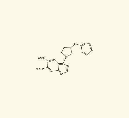 COc1cc2ncnc(N3CCC(Oc4ccncc4)C3)c2cc1OC